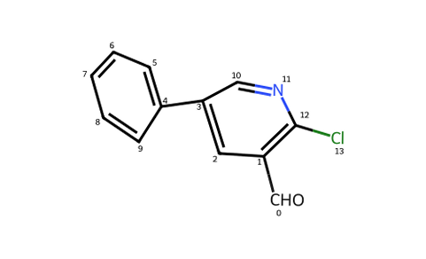 O=Cc1cc(-c2ccccc2)cnc1Cl